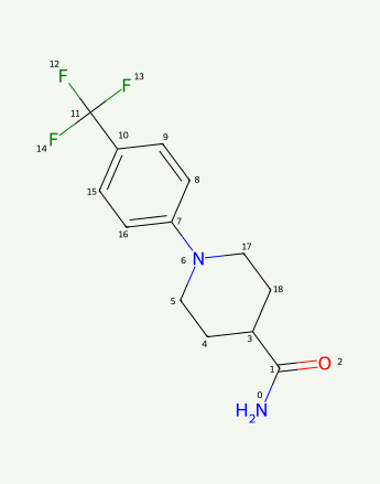 NC(=O)C1CCN(c2ccc(C(F)(F)F)cc2)CC1